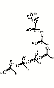 CC(=O)[O-].CC(=O)[O-].CC(=O)[O-].CC(=O)[O-].CC(=O)[O-].CC(=O)[O-].[Cu+2].[Zr+4]